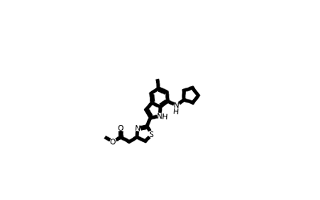 COC(=O)CC1CSC(c2cc3cc(C)cc(NC4CCCC4)c3[nH]2)=N1